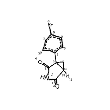 O=C1NC(=O)C2(c3ccc(Br)cc3)C[C@H]12